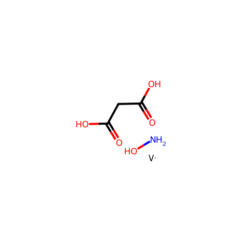 NO.O=C(O)CC(=O)O.[V]